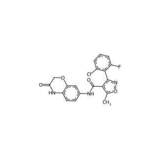 Cc1onc(-c2c(F)cccc2Cl)c1C(=O)Nc1ccc2c(c1)OCC(=O)N2